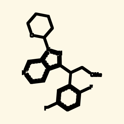 COCC(c1cc(F)ccc1F)c1nn(C2CCCCO2)c2cnccc12